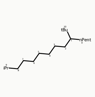 CCCCCC(CCCCCCCC(C)C)C(C)(C)C